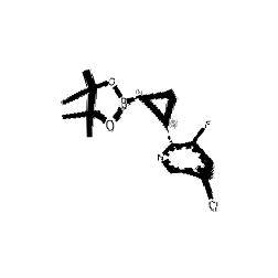 CC1(C)OB([C@H]2C[C@@H]2c2ncc(Cl)cc2F)OC1(C)C